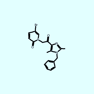 Cc1nc(C(=O)Cn2cc(Br)ccc2=O)c(C)n1Cc1ccccc1